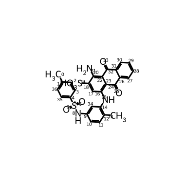 Cc1ccc(S(=O)(=O)Nc2ccc(C)c(Nc3cc(S(=O)(=O)O)c(N)c4c3C(=O)c3ccccc3C4=O)c2)cc1